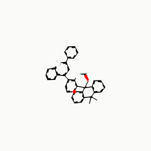 CC1(C)c2ccccc2C2(c3ccccc3Oc3c(-c4cc(-c5ccccc5)nc5ccccc45)cccc32)c2ccccc21